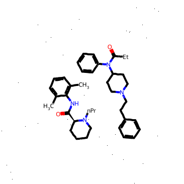 CCC(=O)N(c1ccccc1)C1CCN(CCc2ccccc2)CC1.CCCN1CCCC[C@H]1C(=O)Nc1c(C)cccc1C